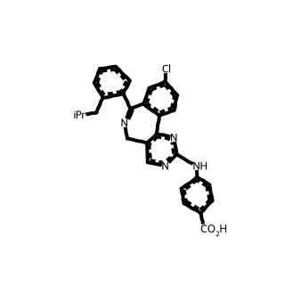 CC(C)Cc1ccccc1C1=NCc2cnc(Nc3ccc(C(=O)O)cc3)nc2-c2ccc(Cl)cc21